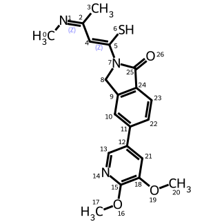 C/N=C(C)\C=C(/S)N1Cc2cc(-c3cnc(OC)c(OC)c3)ccc2C1=O